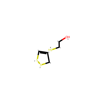 C1=CSSC1.OCCS